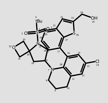 CC(C)(C)S(=O)(=O)N1CC(N2CCCc3cc(Cl)cc(-c4ccnc5cc(CO)sc45)c32)CC12COC2